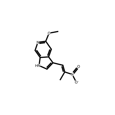 COc1cc2c(/C=C(\C)[N+](=O)[O-])c[nH]c2cn1